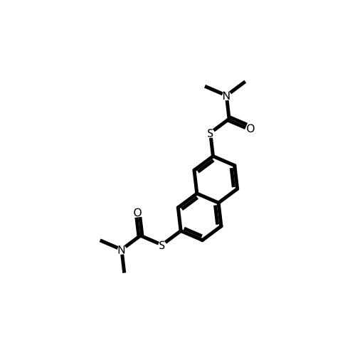 CN(C)C(=O)Sc1ccc2ccc(SC(=O)N(C)C)cc2c1